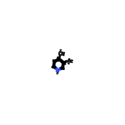 CC(=O)c1cnccc1C#N